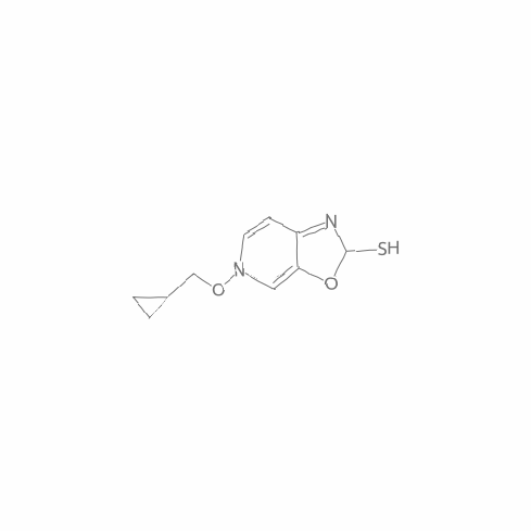 SC1N=C2C=CN(OCC3CC3)C=C2O1